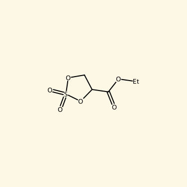 CCOC(=O)C1COS(=O)(=O)O1